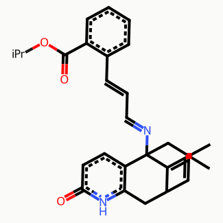 C/C=C1\C2C=C(C)CC1(/N=C/C=C/c1ccccc1C(=O)OC(C)C)c1ccc(=O)[nH]c1C2